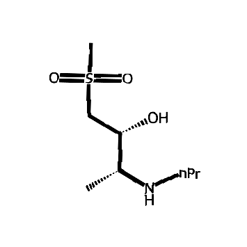 CCCN[C@H](C)[C@@H](O)CS(C)(=O)=O